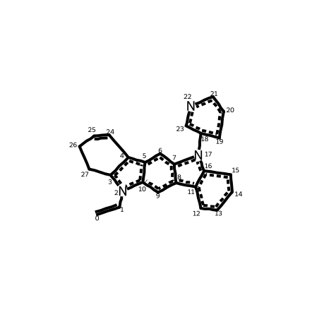 C=Cn1c2c(c3cc4c(cc31)c1ccccc1n4-c1cccnc1)C=CCC2